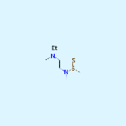 CCN(C)CCN(C)S(C)=S